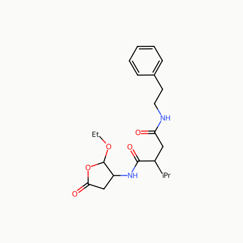 CCOC1OC(=O)CC1NC(=O)C(CC(=O)NCCc1ccccc1)C(C)C